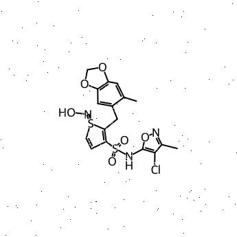 Cc1cc2c(cc1CC1=C(S(=O)(=O)Nc3onc(C)c3Cl)C=CS1=NO)OCO2